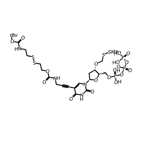 CSSCO[C@H]1C[C@H](n2cc(C#CCNC(=O)OCCSSCCNC(=O)OC(C)(C)C)c(=O)[nH]c2=O)O[C@@H]1COP(=O)(O)OP(=O)(O)OP(=O)(O)O